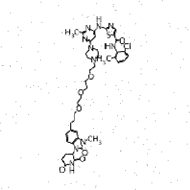 Cc1nc(Nc2ncc(C(=O)Nc3c(C)cccc3Cl)s2)cc(N2CCN(CCOCCOCCOCCCc3ccc4c(c3)n(C)c(=O)n4C3CCC(=O)NC3=O)CC2)n1